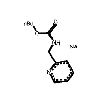 CCCCOC(=O)NCc1ccccn1.[Na]